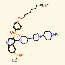 CCCCCCCCCCCCCCCCOc1ccc(S(=O)(=O)c2cnc3ccc([S+](C)[O-])cc3c2N2CCC(N3CCN(C4CCN(CC)CC4)CC3)CC2)cc1